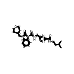 CC(C)CCNC(=O)c1nc(CNC(=O)n2c(=O)n(CC3CCOCC3)c3ccccc32)no1